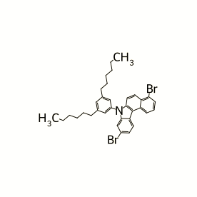 CCCCCCc1cc(CCCCCC)cc(-n2c3cc(Br)ccc3c3c4cccc(Br)c4ccc32)c1